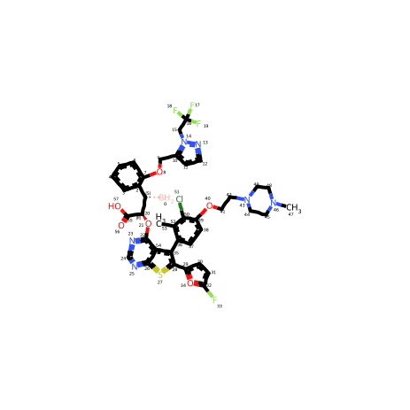 B[C@@H](c1ccccc1OCc1ccnn1CC(F)(F)F)[C@@H](Oc1ncnc2sc(-c3ccc(F)o3)c(-c3ccc(OCCN4CCN(C)CC4)c(Cl)c3C)c12)C(=O)O